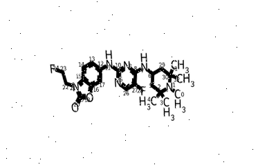 CN1C(C)(C)CC(Nc2nc(Nc3ccc4c(c3)oc(=O)n4CCF)ncc2F)CC1(C)C